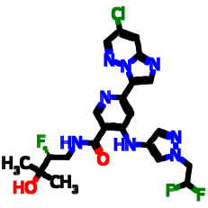 CC(C)(O)[C@H](F)CNC(=O)c1cnc(-c2cnc3cc(Cl)cnn23)cc1Nc1cnn(CC(F)F)c1